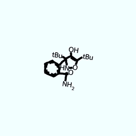 CC(C)(C)C1=C(O)C(c2ccccc2C(N)=O)(C(C)(C)C)NO1